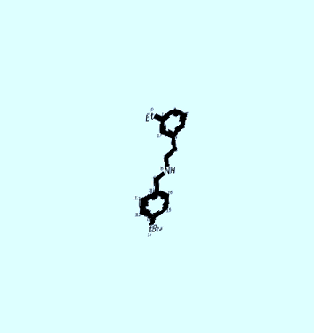 CCc1cccc(CCNCc2ccc(C(C)(C)C)cc2)c1